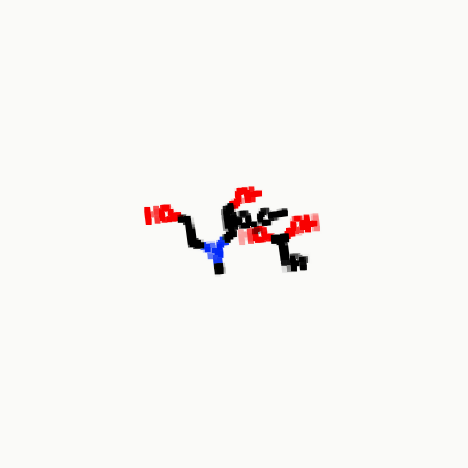 CC(=O)O.CCCC(O)O.CN(CCO)CCO